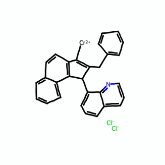 [Cl-].[Cl-].[Cr+2][C]1=C(Cc2ccccc2)C(c2cccc3cccnc23)c2c1ccc1ccccc21